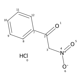 Cl.O=C(C[N+](=O)[O-])c1ccccc1